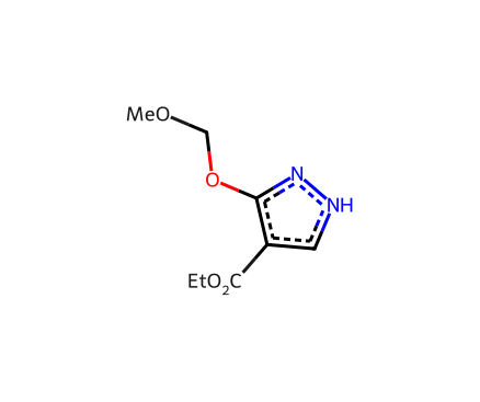 CCOC(=O)c1c[nH]nc1OCOC